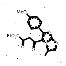 CCOC(=O)C(=O)CC(=O)c1c(-c2ccc(OC)cc2)nc2scc(C)n12